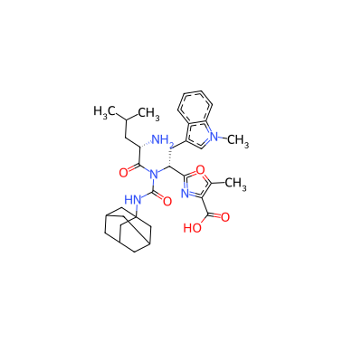 Cc1oc([C@@H](Cc2cn(C)c3ccccc23)N(C(=O)NC23CC4CC(CC(C4)C2)C3)C(=O)[C@@H](N)CC(C)C)nc1C(=O)O